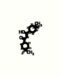 CC1(F)CCC(C(=O)/C=C(\O)C2CCC(C)(F)CC2)CC1